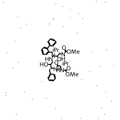 COC(=O)N[C@H](C(=O)N[C@@H](Cc1ccccc1)C(O)CNN(Cc1ccccc1-c1ccccc1)C(=O)[C@@H](NC(=O)OC)C(C)C)C(C)C